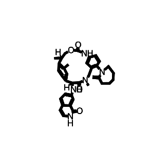 C=C1CCCCCN1c1ccc2cc1CN(C)C(=O)[C@H](Nc1ccc3cc[nH]c(=O)c3c1)c1ccc(c(C)c1)[C@@H](C)COC(=O)N2